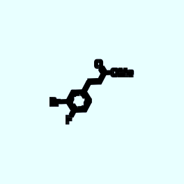 COC(=O)C=Cc1ccc(F)c(Br)c1